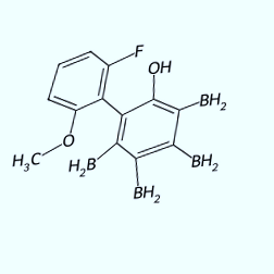 Bc1c(B)c(B)c(-c2c(F)cccc2OC)c(O)c1B